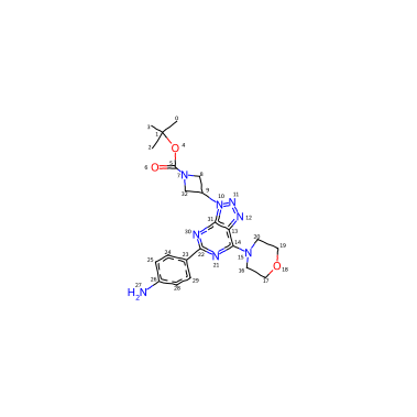 CC(C)(C)OC(=O)N1CC(n2nnc3c(N4CCOCC4)nc(-c4ccc(N)cc4)nc32)C1